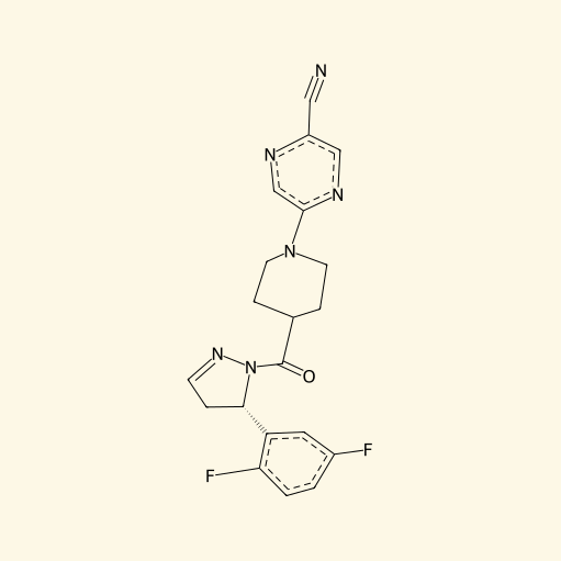 N#Cc1cnc(N2CCC(C(=O)N3N=CC[C@H]3c3cc(F)ccc3F)CC2)cn1